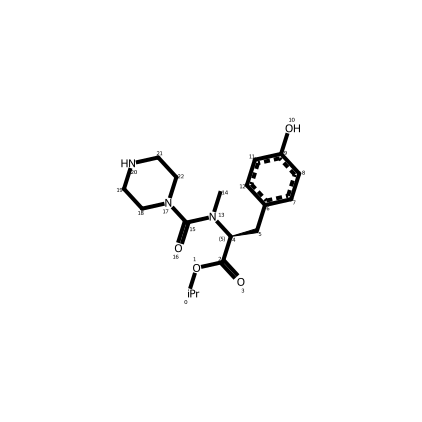 CC(C)OC(=O)[C@H](Cc1ccc(O)cc1)N(C)C(=O)N1CCNCC1